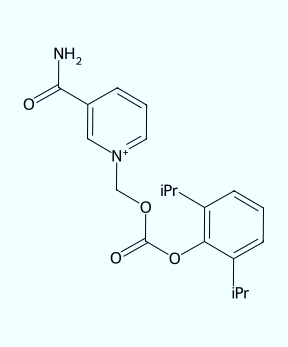 CC(C)c1cccc(C(C)C)c1OC(=O)OC[n+]1cccc(C(N)=O)c1